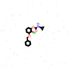 O=C(NC1CC1)Oc1cccc(OCc2ccccc2)c1Br